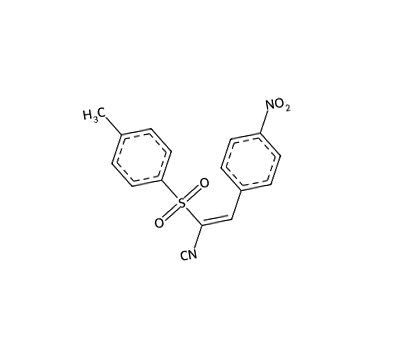 [C-]#[N+]C(=Cc1ccc([N+](=O)[O-])cc1)S(=O)(=O)c1ccc(C)cc1